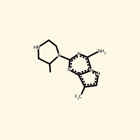 CC1CNCCN1c1nc(N)n2ncc(C(F)(F)F)c2n1